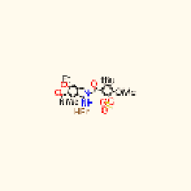 Br.CCOc1cc2c(cc1C(=O)NC)C(=N)N(CC(=O)c1cc(OS(C)(=O)=O)c(OC)cc1C(C)(C)C)C2